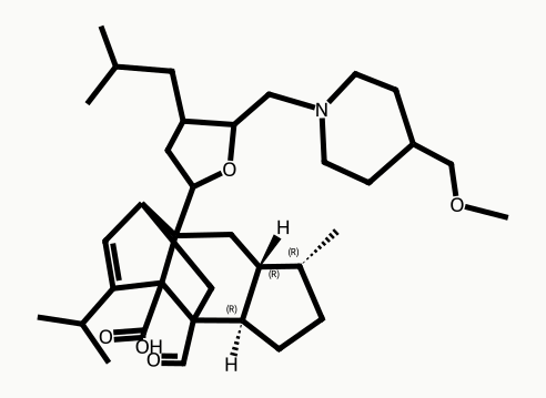 COCC1CCN(CC2OC(C34C[C@@H]5[C@H](C)CC[C@H]5C5(C=O)CC3C=C(C(C)C)C45C(=O)O)CC2CC(C)C)CC1